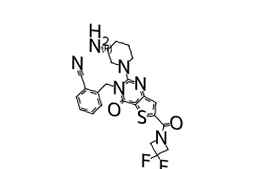 N#Cc1ccccc1Cn1c(N2CCC[C@@H](N)C2)nc2cc(C(=O)N3CC(F)(F)C3)sc2c1=O